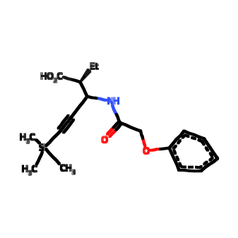 CC[C@H](C(=O)O)C(C#C[Si](C)(C)C)NC(=O)COc1ccccc1